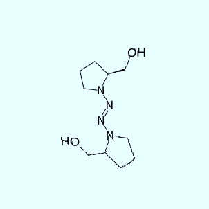 OCC1CCCN1N=NN1CCC[C@H]1CO